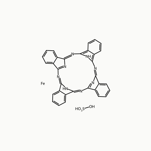 O=S(=O)(O)O.[Fe].c1ccc2c(c1)-c1nc-2nc2[nH]c(nc3nc(nc4[nH]c(n1)c1ccccc41)-c1ccccc1-3)c1ccccc21